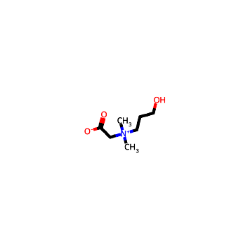 C[N+](C)(CCCO)CC(=O)[O-]